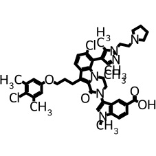 Cc1cc(OCCCc2c3n(c4c(-c5c(C)nn(CCN6CCCC6)c5C)c(Cl)ccc24)[C@H](C)CN(c2cn(C)c4ccc(C(=O)O)cc24)C3=O)cc(C)c1Cl